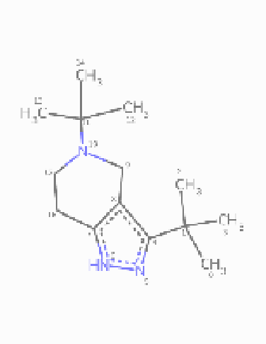 CC(C)(C)c1n[nH]c2c1CN(C(C)(C)C)CC2